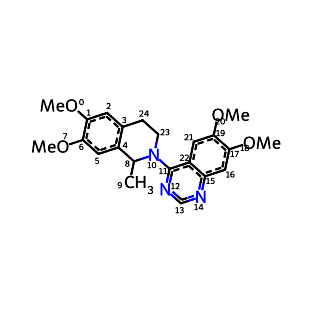 COc1cc2c(cc1OC)C(C)N(c1ncnc3cc(OC)c(OC)cc13)CC2